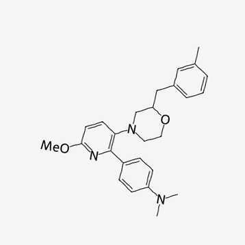 COc1ccc(N2CCOC(Cc3cccc(C)c3)C2)c(-c2ccc(N(C)C)cc2)n1